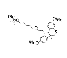 COc1ccc(C2(C)CSc3cc(OC)ccc3C2CCCOCCCCCO[Si](C)(C)C(C)(C)C)cc1